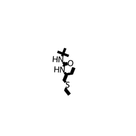 C=CS/C=C(\C=C)NC(=O)NC(C)(C)C